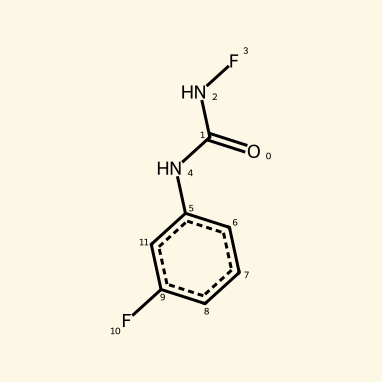 O=C(NF)Nc1cccc(F)c1